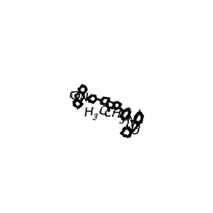 CC1(C)c2cc(-c3ccc(N4c5ccccc5Oc5ccccc54)cc3)ccc2-c2ccc(-c3ccc(N4c5ccccc5Oc5ccccc54)cc3)cc21